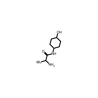 CC(C)(C)C(N)C(=O)NC1CCC(O)CC1